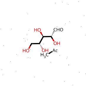 CC(C)=O.O=C[C@H](O)[C@H](O)[C@H](O)CO